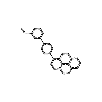 O=Pc1cccc(-c2ccc(-c3ccc4ccc5cccc6ccc3c4c56)cc2)c1